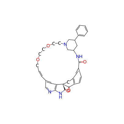 O=C1NC2CC(c3ccccc3)CN(CCOCCOC/C=C\c3cnc4c(c3)[C@@]3(Cc5cc1ccc5C3=O)C(=O)N4)C2